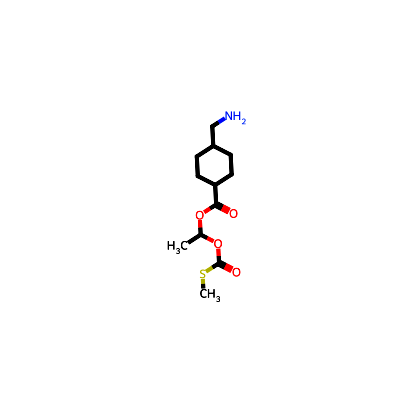 CSC(=O)OC(C)OC(=O)C1CCC(CN)CC1